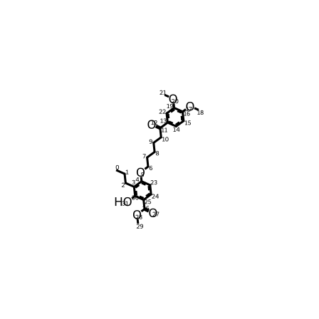 CCCc1c(OCCCCCC(=O)c2ccc(OC)c(OC)c2)ccc(C(=O)OC)c1O